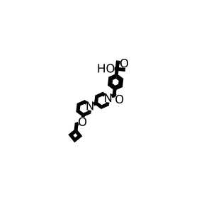 O=C(c1ccc(C2(O)COC2)cc1)N1CCC(N2CCCC(OCC3CCC3)C2)CC1